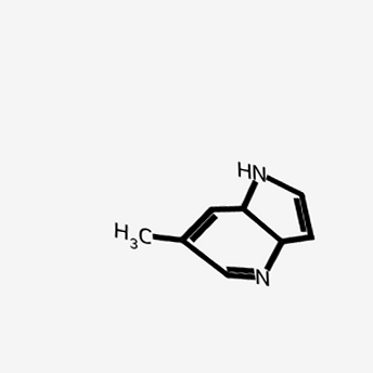 CC1=CC2NC=CC2N=C1